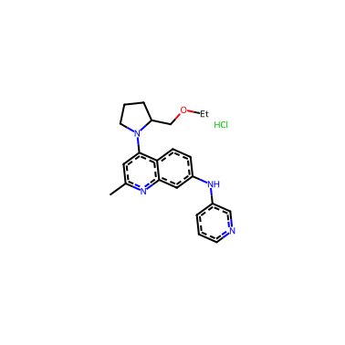 CCOCC1CCCN1c1cc(C)nc2cc(Nc3cccnc3)ccc12.Cl